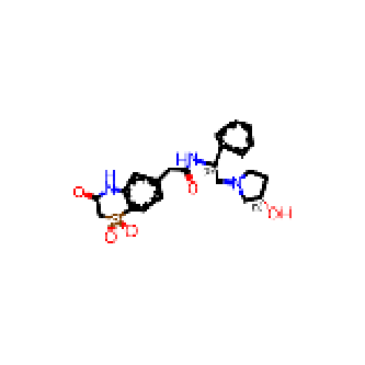 O=C1CS(=O)(=O)c2ccc(CC(=O)N[C@H](CN3CC[C@H](O)C3)c3ccccc3)cc2N1